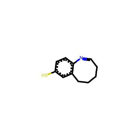 Sc1ccc2c(c1)CCCC/C=N\2